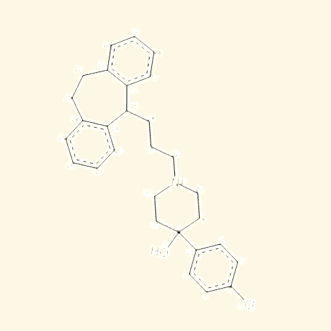 OC1(c2ccc(Cl)cc2)CCN(CCCC2c3ccccc3CCc3ccccc32)CC1